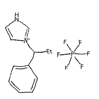 CCC(c1ccccc1)[n+]1cc[nH]c1.F[P-](F)(F)(F)(F)F